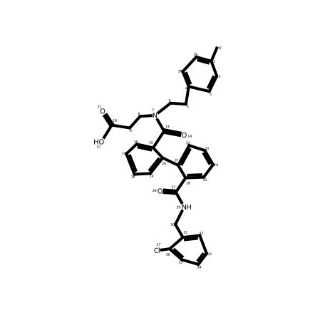 Cc1ccc(CCN(CCC(=O)O)C(=O)c2ccccc2-c2ccccc2C(=O)NCc2ccccc2Cl)cc1